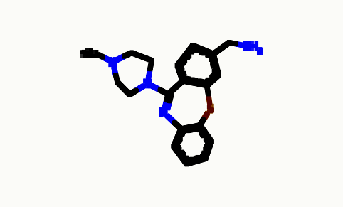 CCCCN1CCN(C2=Nc3ccccc3Sc3cc(CN)ccc32)CC1